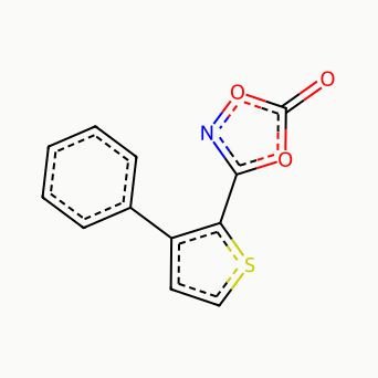 O=c1onc(-c2sccc2-c2ccccc2)o1